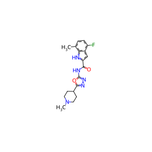 Cc1ccc(F)c2cc(C(=O)Nc3nnc(C4CCN(C)CC4)o3)[nH]c12